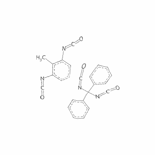 Cc1c(N=C=O)cccc1N=C=O.O=C=NC(N=C=O)(c1ccccc1)c1ccccc1